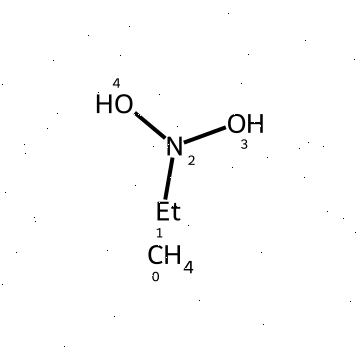 C.CCN(O)O